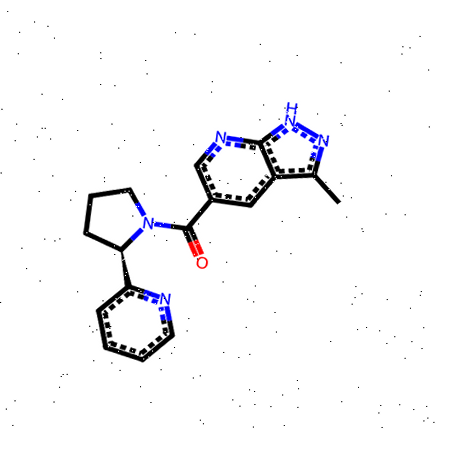 Cc1n[nH]c2ncc(C(=O)N3CCC[C@@H]3c3ccccn3)cc12